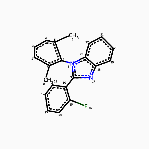 Cc1cccc(C)c1-n1c(-c2ccccc2F)nc2ccccc21